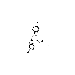 CC(C)CCn1c(Cn2nnc3cc(C#N)ccc32)nc2cc(C#N)ccc21